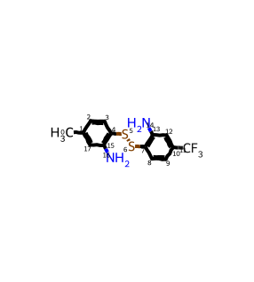 Cc1ccc(SSc2ccc(C(F)(F)F)cc2N)c(N)c1